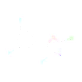 Fc1cc(F)cc(-c2oc(Cl)nc2F)c1